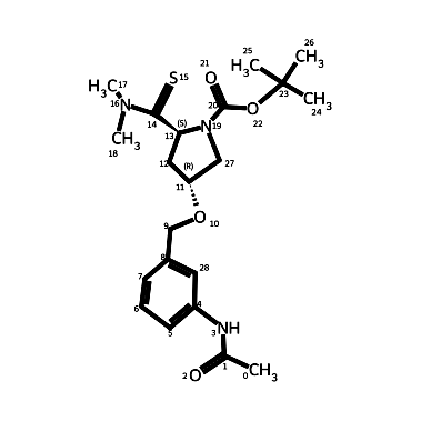 CC(=O)Nc1cccc(CO[C@@H]2C[C@@H](C(=S)N(C)C)N(C(=O)OC(C)(C)C)C2)c1